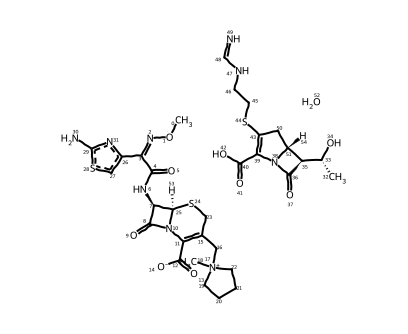 CO/N=C(\C(=O)N[C@@H]1C(=O)N2C(C(=O)[O-])=C(C[N+]3(C)CCCC3)CS[C@H]12)c1csc(N)n1.C[C@@H](O)[C@H]1C(=O)N2C(C(=O)O)=C(SCCNC=N)C[C@H]12.O